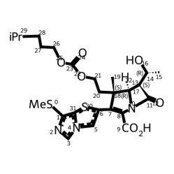 CSc1ncn2cc(C3=C(C(=O)O)N4C(=O)[C@H]([C@@H](C)O)[C@@H]4[C@@]3(C)CCOC(=O)OCCCC(C)C)sc12